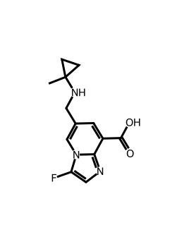 CC1(NCc2cc(C(=O)O)c3ncc(F)n3c2)CC1